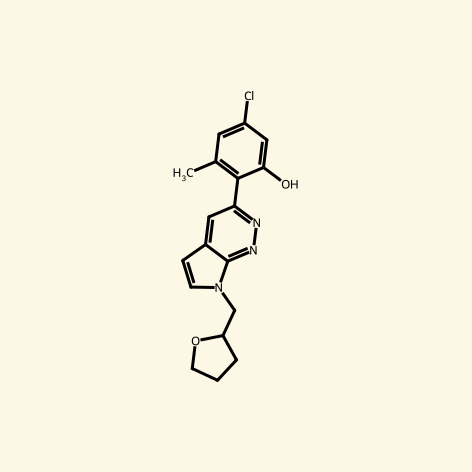 Cc1cc(Cl)cc(O)c1-c1cc2ccn(CC3CCCO3)c2nn1